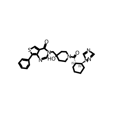 O=C([C@H]1CCCC[C@@H]1n1cncn1)N1CCC(O)(Cn2cnc3c(-c4ccccc4)scc3c2=O)CC1